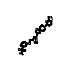 CNS(=O)(=O)c1cccc(OC[C@@H](O)CNC2COC3(CCN(c4nccc(N)n4)CC3)C2)c1